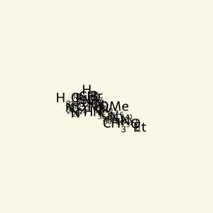 CCOC1CN(C2CCN(c3cc(OC)c(Nc4ncc(Br)c(Nc5ccc6ncncc6c5P(C)C)n4)cc3C)CC2)C1